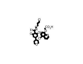 CC/C(=N\OC/C=C/Cl)C1=C(O)CC(C2CCOCC2)CC1=O.O=C(O)COc1ccc(Cl)c2cccnc12